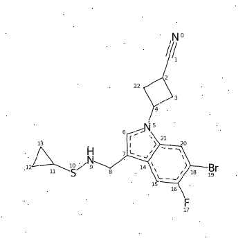 N#CC1CC(n2cc(CNSC3CC3)c3cc(F)c(Br)cc32)C1